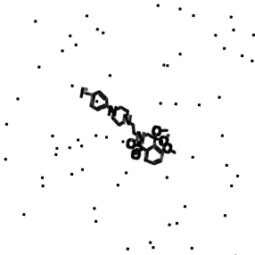 COc1cccc2c1C(OC)(OC)CN(CCN1CCN(c3ccc(F)cc3)CC1)S2(=O)=O